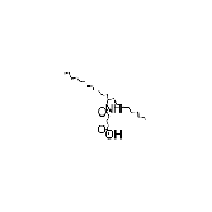 CCCCCCCCCCCCC(CCCCCCCCCC)CNC(=O)CCCC(=O)O